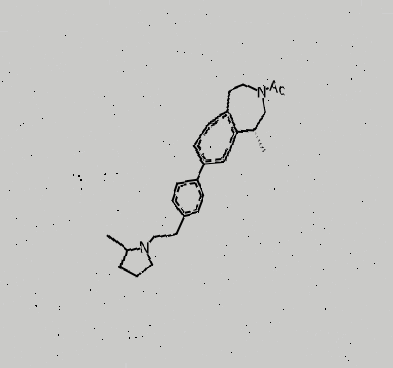 CC(=O)N1CCc2ccc(-c3ccc(CCN4CCCC4C)cc3)cc2[C@@H](C)C1